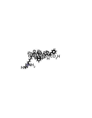 CCCC(NC(=O)[C@@H]1[C@H]2CCC[C@H]2CN1C(=O)[C@@H](NC(=O)[C@H](NC(=O)CCCC/C(N)=N/N=N)C(C)C)C(C)C)C(=O)C(=O)N[C@H](Cc1ccccc1)C(=O)O